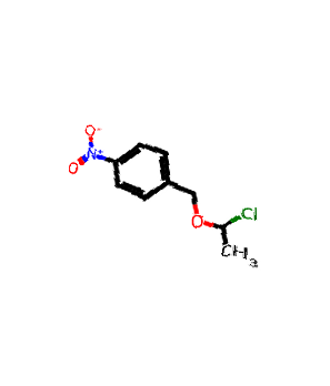 CC(Cl)OCc1ccc([N+](=O)[O-])cc1